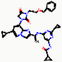 CC(Nc1cc(NC(=O)C2CC2)nc(C2CC2)n1)c1cn2cc(C3CC3)cc(N3CC(=O)N(CCOCc4ccccc4)C3=O)c2n1